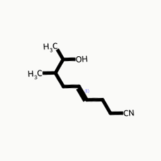 CC(O)C(C)C/C=C/CCC#N